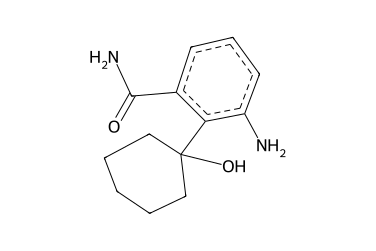 NC(=O)c1cccc(N)c1C1(O)CCCCC1